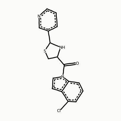 O=C(C1CSC(c2cccnc2)N1)n1ccc2c(Cl)cccc21